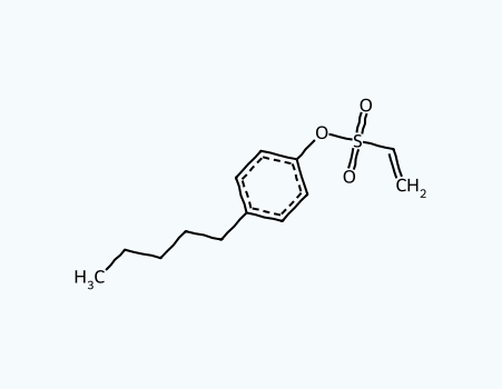 C=CS(=O)(=O)Oc1ccc(CCCCC)cc1